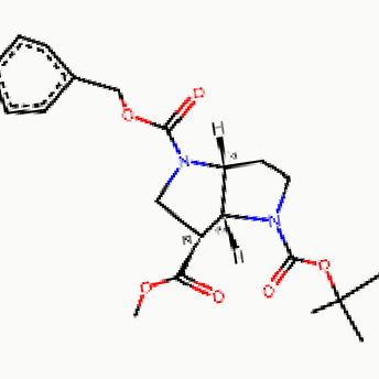 COC(=O)[C@H]1CN(C(=O)OCc2ccccc2)[C@@H]2CCN(C(=O)OC(C)(C)C)[C@H]12